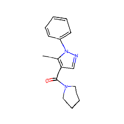 Cc1c(C(=O)N2CCCC2)cnn1-c1ccccc1